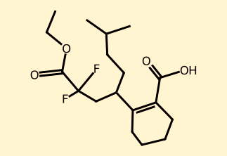 CCOC(=O)C(F)(F)CC(CCC(C)C)C1=C(C(=O)O)CCCC1